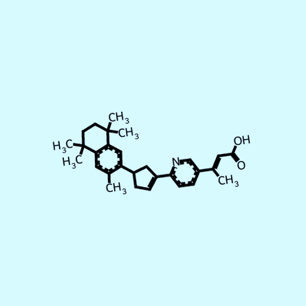 CC(=CC(=O)O)c1ccc(C2=CCC(c3cc4c(cc3C)C(C)(C)CCC4(C)C)C2)nc1